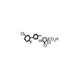 CC[C@@]1(C(=O)O)C[C@@H](Cc2ccc(-c3cc(Cl)ccc3F)cc2)NC1=O